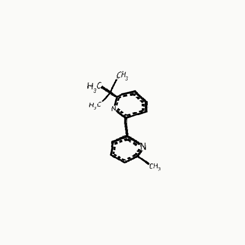 Cc1cccc(-c2cccc(C(C)(C)C)n2)n1